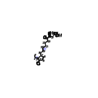 C/C=C1/C(=O)C=CC1C/C=C/CCCC(=O)N(CCO)CCCCCC